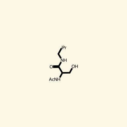 CC(=O)NC(CO)C(=O)NCC(C)C